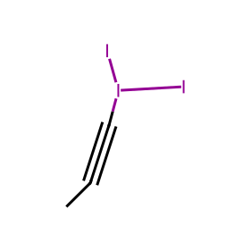 CC#CI(I)I